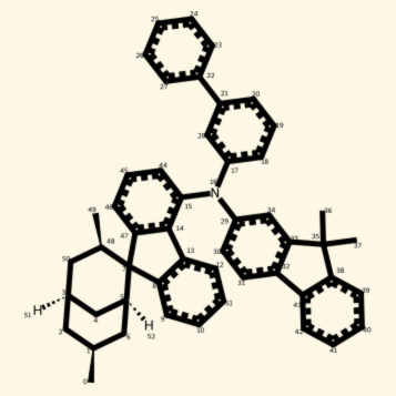 C[C@H]1C[C@@H]2C[C@H](C1)C1(c3ccccc3-c3c(N(c4cccc(-c5ccccc5)c4)c4ccc5c(c4)C(C)(C)c4ccccc4-5)cccc31)[C@H](C)C2